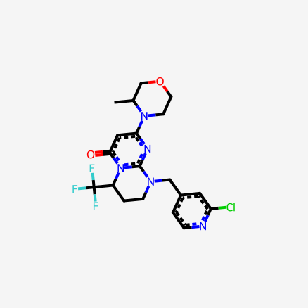 CC1COCCN1c1cc(=O)n2c(n1)N(Cc1ccnc(Cl)c1)CCC2C(F)(F)F